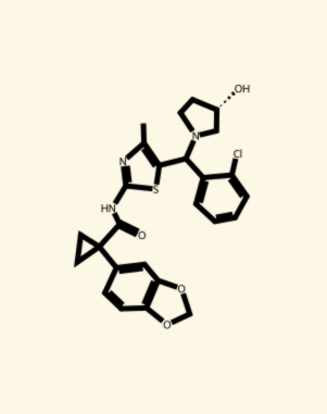 Cc1nc(NC(=O)C2(c3ccc4c(c3)OCO4)CC2)sc1C(c1ccccc1Cl)N1CC[C@H](O)C1